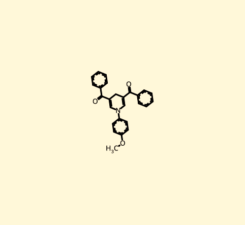 COc1ccc(N2C=C(C(=O)c3ccccc3)CC(C(=O)c3ccccc3)=C2)cc1